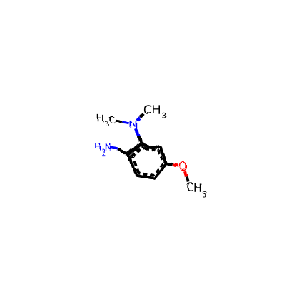 COc1ccc(N)c(N(C)C)c1